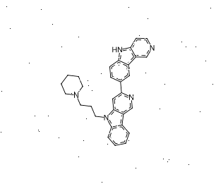 c1ccc2c(c1)c1cnc(-c3ccc4[nH]c5ccncc5c4c3)cc1n2CCCN1CCCCC1